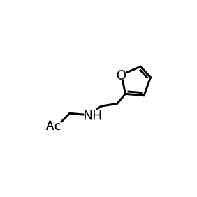 CC(=O)CNCCc1ccco1